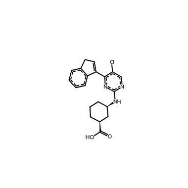 O=C(O)[C@H]1CCC[C@@H](Nc2ncc(Cl)c(C3=CCc4ccccc43)n2)C1